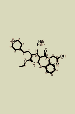 Br.Br.CCOC(=O)[C@@H](CCC1CCNCC1)NC1CSc2ccccc2N(CC(=O)O)C1=O